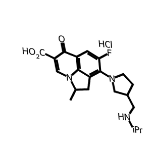 CC(C)NCC1CCN(c2c(F)cc3c(=O)c(C(=O)O)cn4c3c2CC4C)C1.Cl